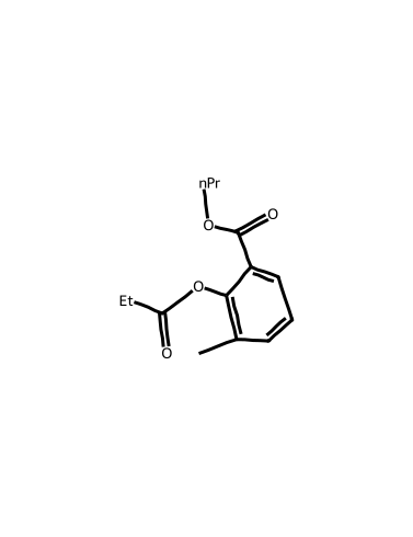 CCCOC(=O)c1cccc(C)c1OC(=O)CC